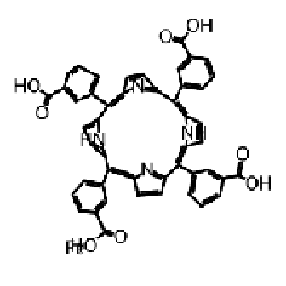 O=C(O)c1cccc(-c2c3nc(c(-c4cccc(C(=O)O)c4)c4ccc([nH]4)c(-c4cccc(C(=O)O)c4)c4nc(c(-c5cccc(C(=O)O)c5)c5ccc2[nH]5)C=C4)C=C3)c1.[Fe]